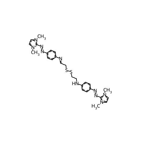 Cn1cc[n+](C)c1N=Nc1ccc(/N=C/CSSCCNc2ccc(N=Nc3n(C)cc[n+]3C)cc2)cc1